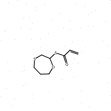 C=CC(=O)SC1CSCCCO1